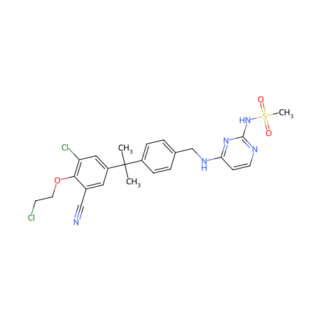 CC(C)(c1ccc(CNc2ccnc(NS(C)(=O)=O)n2)cc1)c1cc(Cl)c(OCCCl)c(C#N)c1